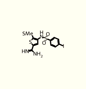 CSc1sc(C(=N)N)cc1NS(=O)(=O)c1ccc(I)cc1